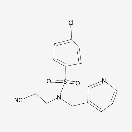 N#CCCN(Cc1cccnc1)S(=O)(=O)c1ccc(Cl)cc1